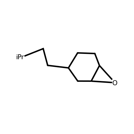 CC(C)CCC1CCC2OC2C1